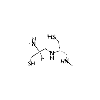 CNC[C@@H](CS)NC[C@@](F)(CS)NC